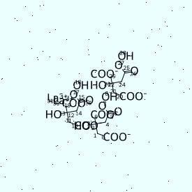 O=C([O-])CC(O)(CC(=O)OO)C(=O)[O-].O=C([O-])CC(O)(CC(=O)OO)C(=O)[O-].O=C([O-])CC(O)(CC(=O)OO)C(=O)[O-].[La+3].[La+3]